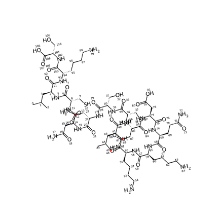 CC(C)C[C@H](NC(=O)[C@H](CS)NC(=O)[C@H](CC(N)=O)NC(=O)[C@H](CC(N)=O)NC(=O)[C@H](CO)NC(=O)[C@H](CS)NC(=O)[C@H](CC(C)C)NC(=O)[C@H](CCCCN)NC(=O)[C@H](CCCCN)NC(=O)[C@H](CCC(N)=O)NC(=O)[C@H](CC(=O)O)NC(=O)[C@@H](N)CC(N)=O)C(=O)N[C@@H](CCCCN)C(=O)N[C@@H](CO)C(=O)O